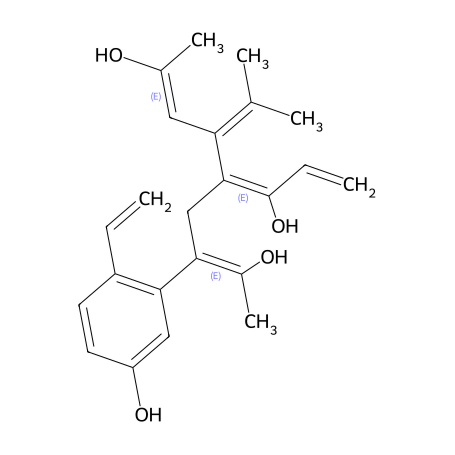 C=C/C(O)=C(/C/C(=C(/C)O)c1cc(O)ccc1C=C)C(/C=C(\C)O)=C(C)C